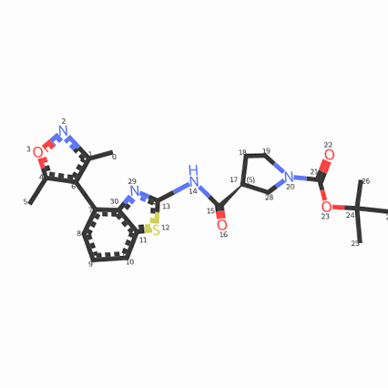 Cc1noc(C)c1-c1cccc2sc(NC(=O)[C@H]3CCN(C(=O)OC(C)(C)C)C3)nc12